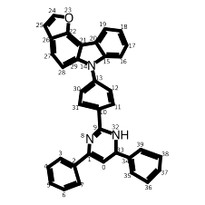 C1=C(c2ccccc2)N=C(c2ccc(-n3c4ccccc4c4c5occc5ccc43)cc2)NC1c1ccccc1